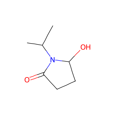 CC(C)N1C(=O)CCC1O